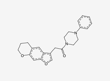 O=C(Cc1coc2cc3c(cc12)CCCO3)N1CCN(c2ccccc2)CC1